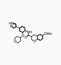 COc1ccc2c(c1)CC(C(=O)Nc1ccc(-c3cn[nH]c3)cc1OC1CCOCC1)CO2